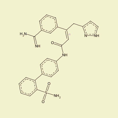 N=C(N)c1cccc(/C(=C\C(=O)Nc2ccc(-c3ccccc3S(N)(=O)=O)cc2)Cc2cc[nH]n2)c1